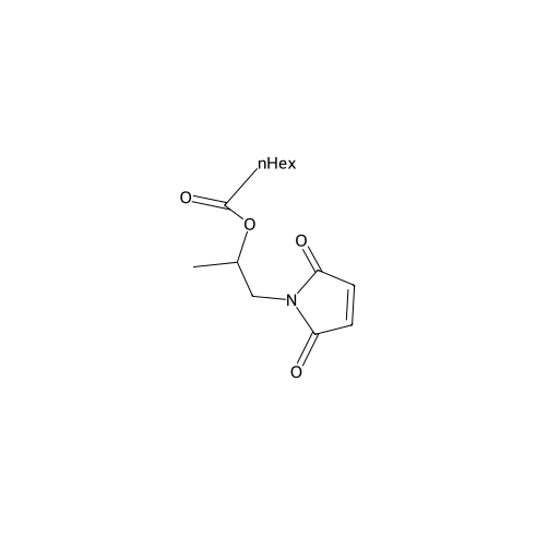 CCCCCCC(=O)OC(C)CN1C(=O)C=CC1=O